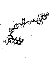 CC(Oc1cc(-c2cnn(C3CCN(CC(=O)NCCOCCOC4C=COC(C5CCC(=O)NC5=O)O4)CC3)c2)cnc1N)c1c(Cl)ccc(F)c1Cl